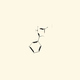 Clc1nnc(-c2ccccc2)o1